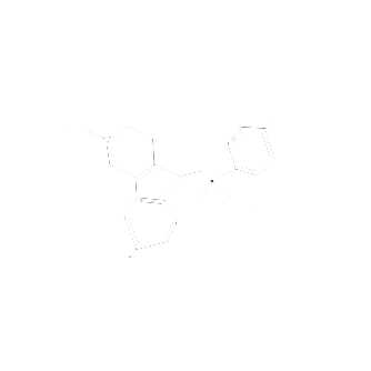 CN1CCc2c(c3cc(Cl)ccc3n2CC(C)(O)c2ccc(C=O)cc2)C1